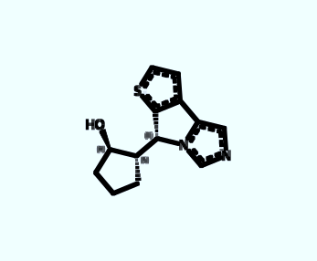 O[C@@H]1CCC[C@H]1[C@@H]1c2sccc2-c2cncn21